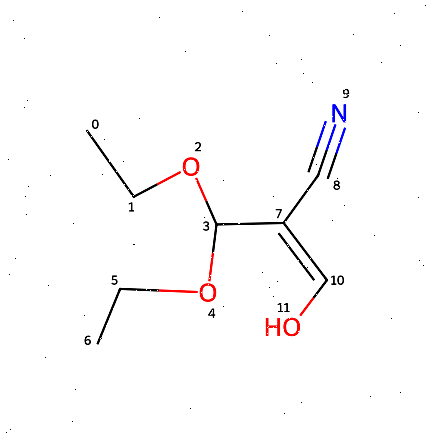 CCOC(OCC)/C(C#N)=C\O